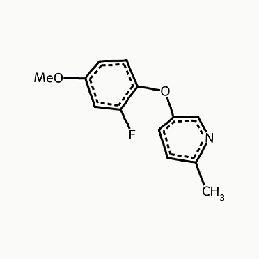 COc1ccc(Oc2ccc(C)nc2)c(F)c1